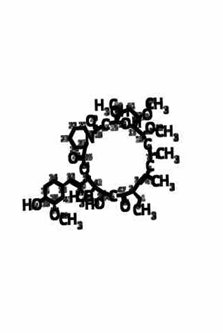 CC[C@@H]1/C=C(\C)C[C@H](C)C[C@H](OC)[C@H]2O[C@@](O)(CC(=O)N3CCCCC3C(=O)O[C@H](/C(C)=C/[C@@H]3CCC(O)[C@H](OC)C3)[C@H](C)[C@@H](O)CC1=O)[C@H](C)C[C@@H]2OC